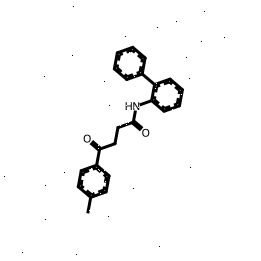 Cc1ccc(C(=O)CCC(=O)Nc2ccccc2-c2ccccc2)cc1